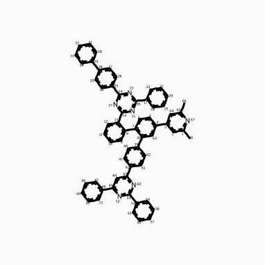 Cc1cc(-c2ccc(-c3ccccc3-c3nc(-c4ccccc4)nc(-c4ccc(-c5ccccc5)cc4)n3)c(-c3ccc(-c4cc(-c5ccccc5)nc(-c5ccccc5)n4)cc3)c2)cc(C)n1